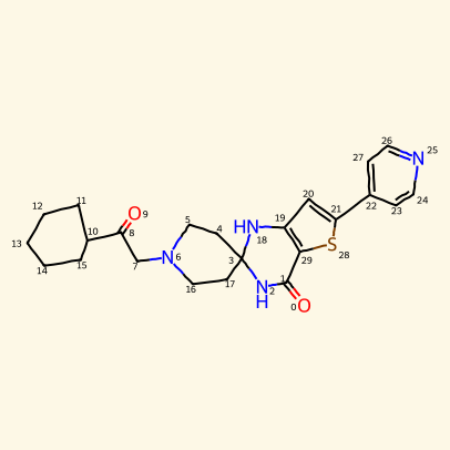 O=C1NC2(CCN(CC(=O)C3CCCCC3)CC2)Nc2cc(-c3ccncc3)sc21